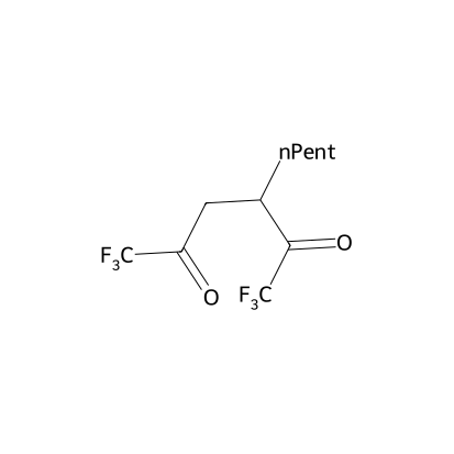 CCCCCC(CC(=O)C(F)(F)F)C(=O)C(F)(F)F